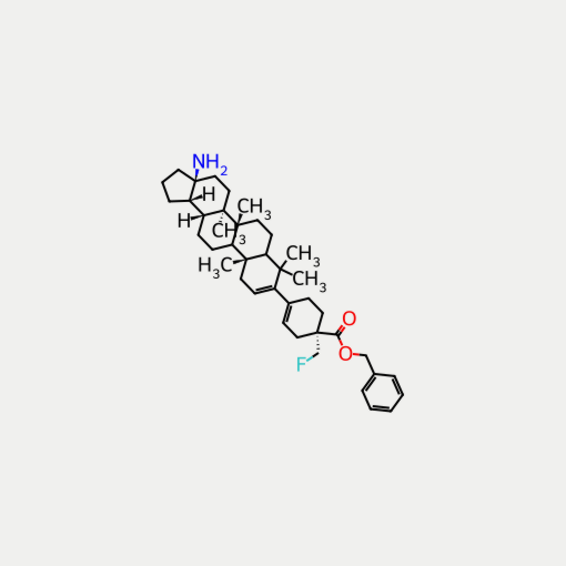 CC1(C)C(C2=CC[C@](CF)(C(=O)OCc3ccccc3)CC2)=CC[C@@]2(C)C1CC[C@]1(C)C2CC[C@@H]2[C@@H]3CCC[C@]3(N)CC[C@]21C